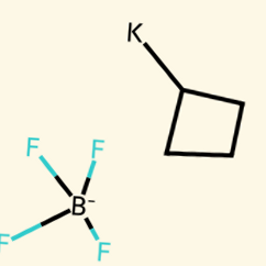 F[B-](F)(F)F.[K][CH]1CCC1